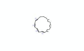 C1=C\C=C\CCCCCCCC/C=C/C=C/1